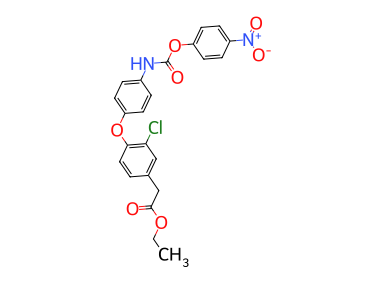 CCOC(=O)Cc1ccc(Oc2ccc(NC(=O)Oc3ccc([N+](=O)[O-])cc3)cc2)c(Cl)c1